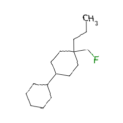 CCCC1(CF)CCC(C2CCCCC2)CC1